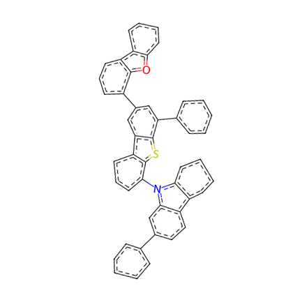 c1ccc(-c2ccc3c4ccccc4n(-c4cccc5c4sc4c(-c6ccccc6)cc(-c6cccc7c6oc6ccccc67)cc45)c3c2)cc1